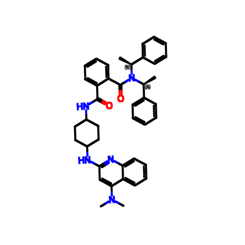 C[C@@H](c1ccccc1)N(C(=O)c1ccccc1C(=O)NC1CCC(Nc2cc(N(C)C)c3ccccc3n2)CC1)[C@@H](C)c1ccccc1